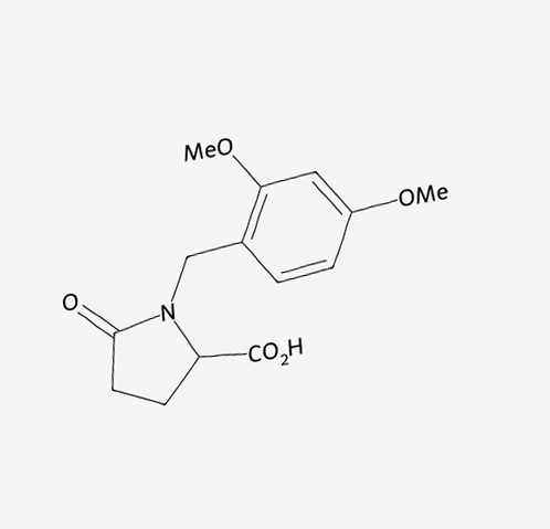 COc1ccc(CN2C(=O)CCC2C(=O)O)c(OC)c1